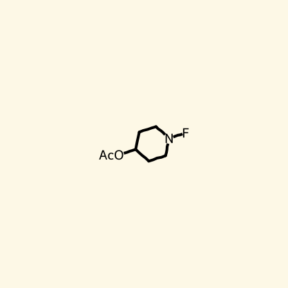 CC(=O)OC1CCN(F)CC1